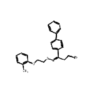 Cc1[c]cccc1OCCON=C(CCC(C)C)c1ccc(-c2ccccc2)cc1